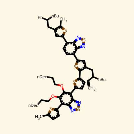 C=CC(CCCC)Cc1cc(-c2ccc(-c3cc(CC(CC)CCCC)c(C)s3)c3nsnc23)sc1-c1ccc(-c2c(OCCCCCCCCCCCC)c(OCCCCCCCCCCCC)c(-c3ccc(C)s3)c3nsnc23)s1